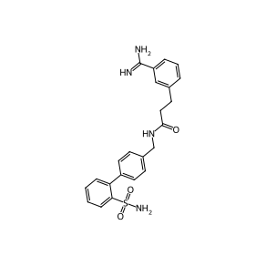 N=C(N)c1cccc(CCC(=O)NCc2ccc(-c3ccccc3S(N)(=O)=O)cc2)c1